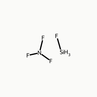 FN(F)F.F[SiH3]